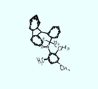 Cc1cc(C)c([N]([Ti])C(C)(C)c2ccccc2C2c3ccccc3-c3ccccc32)c(C)c1